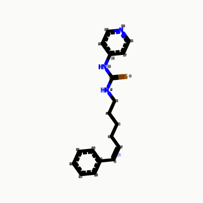 S=C(NCCCC/C=C\c1ccccc1)Nc1ccncc1